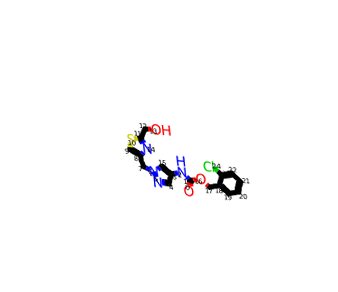 O=C(Nc1cnn(Cc2csc(CO)n2)c1)OCc1ccccc1Cl